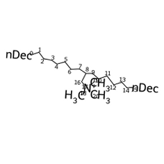 CCCCCCCCCCCCCCCCCC(CCCCCCCCCCCCCCCC)C[N+](C)(C)C